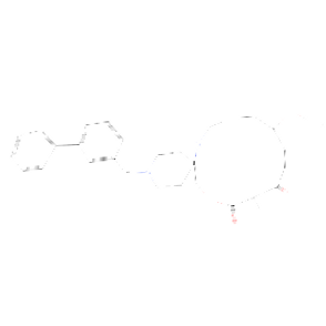 COC1CCCNC2(CCN(Cc3cccc(-c4ccccc4)c3)CC2)COC(=O)C(C)C(=O)CC1